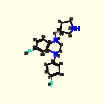 Fc1ccc(N2CCN(C[C@@H]3CCNC3)c3ccc(F)cc32)cc1